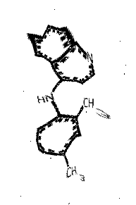 Cc1ccc(Nc2ccnc3ccccc23)c(C)c1